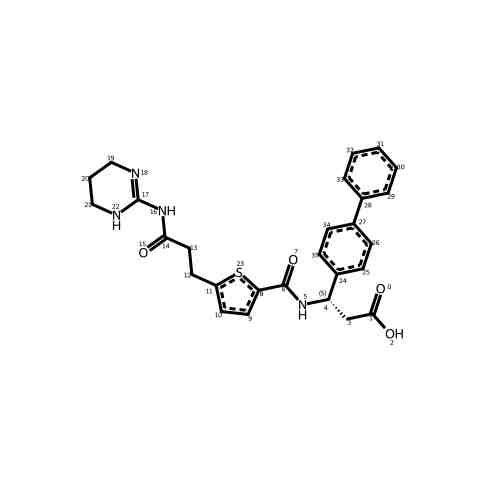 O=C(O)C[C@H](NC(=O)c1ccc(CCC(=O)NC2=NCCCN2)s1)c1ccc(-c2ccccc2)cc1